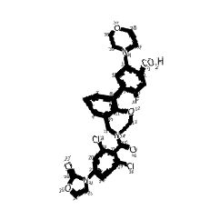 O=C(O)c1cc(F)c(-c2cccc3c2OCN(C(=O)c2c(Cl)cc(N4CCOC4=O)cc2Cl)C3)cc1N1CCOCC1